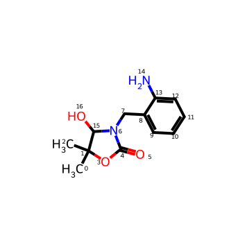 CC1(C)OC(=O)N(Cc2ccccc2N)C1O